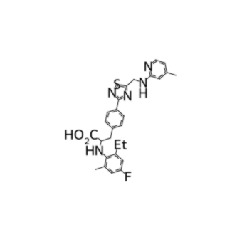 CCc1cc(F)cc(C)c1NC(Cc1ccc(-c2nsc(CNc3cc(C)ccn3)n2)cc1)C(=O)O